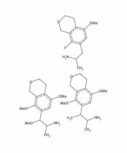 COc1cc(C(C)C(C)N)c(OC)c2c1CCOC2.COc1cc(C(OC)C(C)N)c(OC)c2c1CCOC2.COc1cc(CC(C)N)c(F)c2c1CCOC2